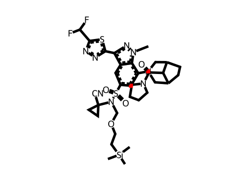 Cn1nc(-c2nnc(C(F)F)s2)c2cc(S(=O)(=O)N(COCC[Si](C)(C)C)C3(C#N)CC3)cc(N3CC4CCC(C3)C4C(=O)N3CCCC3)c21